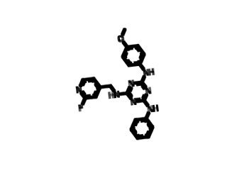 COc1ccc(Nc2nc(NCc3ccnc(F)c3)nc(Nc3ccccc3)n2)cc1